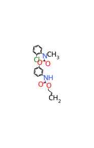 C=CCOC(=O)Nc1cccc(OC(=O)N(C)c2ccccc2Cl)c1